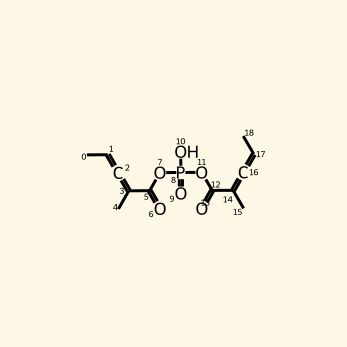 CC=C=C(C)C(=O)OP(=O)(O)OC(=O)C(C)=C=CC